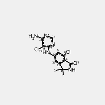 CC1(C)NC(=O)c2c(Cl)cc(Nc3ncnc(N)c3Cl)cc21